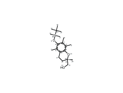 Cc1c(C)c2c(c(C)c1O[Si](C)(C)C(C)(C)C)CC[C@@](C)(CO)O2